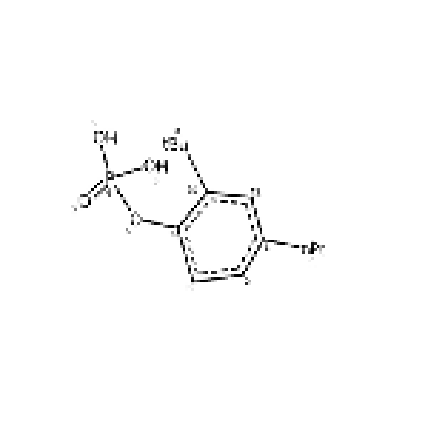 CCCc1ccc(OP(=O)(O)O)c(C(C)(C)C)c1